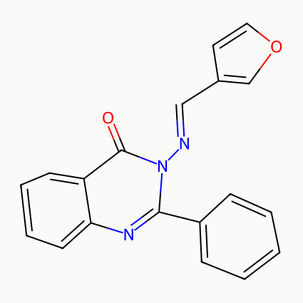 O=c1c2ccccc2nc(-c2ccccc2)n1N=Cc1ccoc1